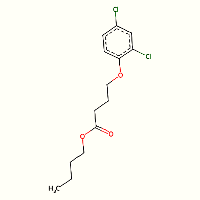 CCCCOC(=O)CCCOc1ccc(Cl)cc1Cl